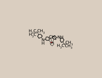 CC1C[C@]23CCC[C@@]2(C1)c1cc(Nc2ccc(C(C)(C)C)cc2)ccc1-c1ccc(Nc2ccc(C(C)(C)C)cc2)cc13